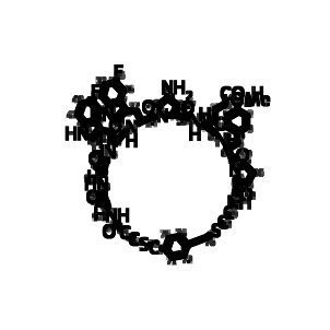 COc1ccc(CC2NC(=O)[C@H](CCCC(=O)O)NC(=O)[C@@H]3C[C@H](N)CN3C(=O)C(Cc3c[nH]c4ccc(F)cc34)NC(=O)[C@H](Cc3c[nH]c4ccc(F)cc34)NC(=O)[C@H](C)NC(=O)[C@H](C)NC(=O)CCSCc3ccc(cc3)CSCCNC(=O)[C@]3(C)CCCN3C2=O)cc1